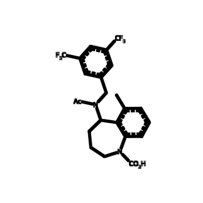 CC(=O)N(Cc1cc(C(F)(F)F)cc(C(F)(F)F)c1)C1CCCN(C(=O)O)c2cccc(C)c21